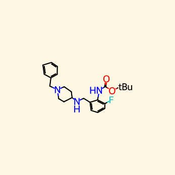 CC(C)(C)OC(=O)Nc1c(F)cccc1CNC1CCN(Cc2ccccc2)CC1